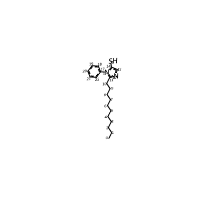 CCCCCCCCCCCc1ncc(S)n1-c1ccccc1